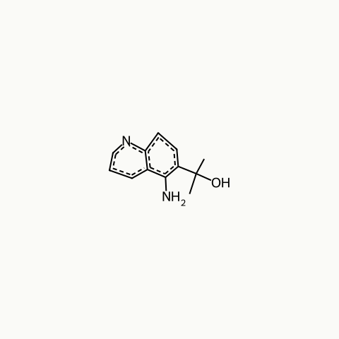 CC(C)(O)c1ccc2ncccc2c1N